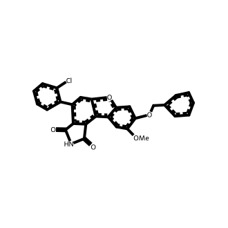 COc1cc2c(cc1OCc1ccccc1)oc1cc(-c3ccccc3Cl)c3c(c12)C(=O)NC3=O